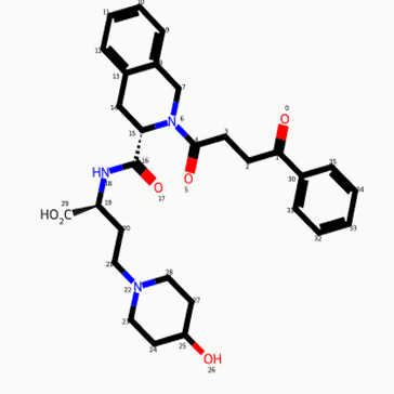 O=C(CCC(=O)N1Cc2ccccc2C[C@H]1C(=O)N[C@@H](CCN1CCC(O)CC1)C(=O)O)c1ccccc1